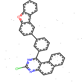 Clc1nc(-c2cccc(-c3ccc4oc5ccccc5c4c3)c2)c2c(ccc3ccccc32)n1